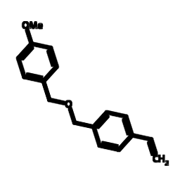 C=Cc1ccc(COCc2ccc(OC)cc2)cc1